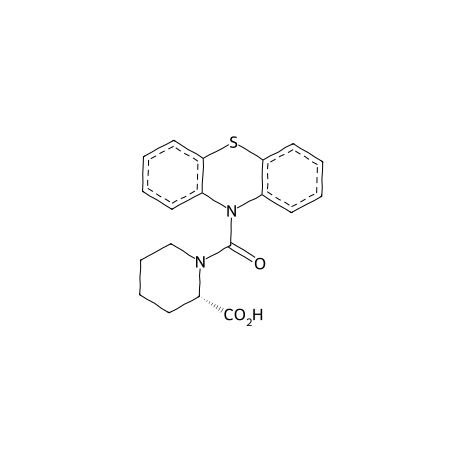 O=C(O)[C@@H]1CCCCN1C(=O)N1c2ccccc2Sc2ccccc21